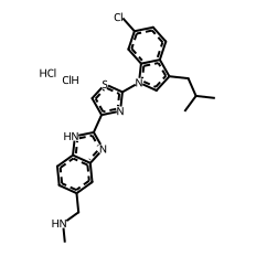 CNCc1ccc2[nH]c(-c3csc(-n4cc(CC(C)C)c5ccc(Cl)cc54)n3)nc2c1.Cl.Cl